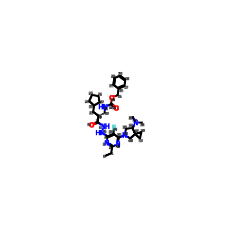 CCc1nc(NNC(=O)[C@@H](CNC(=O)OCc2ccccc2)CC2CCCC2)c(F)c(N2CC(N(C)C)C3(CC3)C2)n1